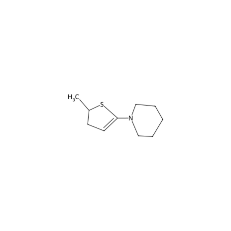 CC1CC=C(N2CCCCC2)S1